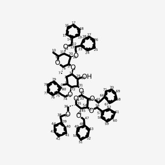 CC1C[C@@H](OC2[C@H](C)OC(C)[C@H](OCc3ccccc3)[C@@H]2OCc2ccccc2)C(O)[C@@H](O[C@H]2O[C@@H](COCc3ccccc3)[C@@H](OCc3ccccc3)C(OCc3ccccc3)C2OCc2ccccc2)[C@H]1OCc1ccccc1